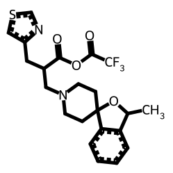 CC1OC2(CCN(CC(Cc3cscn3)C(=O)OC(=O)C(F)(F)F)CC2)c2ccccc21